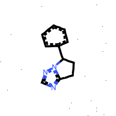 c1ccc(C2CCc3ncnn32)cc1